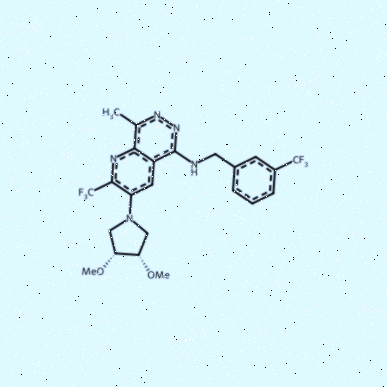 CO[C@H]1CN(c2cc3c(NCc4cccc(C(F)(F)F)c4)nnc(C)c3nc2C(F)(F)F)C[C@H]1OC